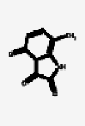 CC1=C2NC(=O)C(=O)C2C(=O)C=C1